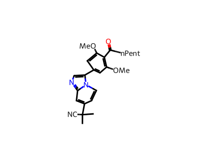 CCCCCC(=O)c1c(OC)cc(-c2cnc3cc(C(C)(C)C#N)ccn23)cc1OC